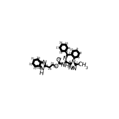 Cc1nnc2n1-c1ccccc1C(c1ccccc1)=NC2NC(=O)OCCc1nc2ccccc2[nH]1